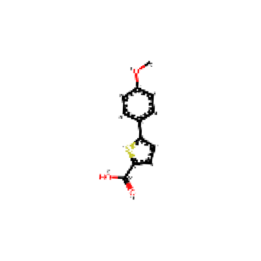 COc1ccc(-c2ccc(C(=O)O)s2)cc1